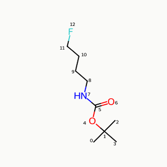 CC(C)(C)OC(=O)NCCCCF